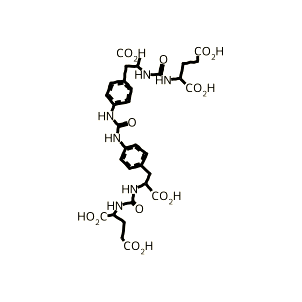 O=C(O)CCC(NC(=O)NC(Cc1ccc(NC(=O)Nc2ccc(CC(NC(=O)NC(CCC(=O)O)C(=O)O)C(=O)O)cc2)cc1)C(=O)O)C(=O)O